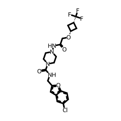 O=C(CO[C@H]1C[C@@H](C(F)(F)F)C1)NN1CCN(C(=O)NCc2cc3cc(Cl)ccc3o2)CC1